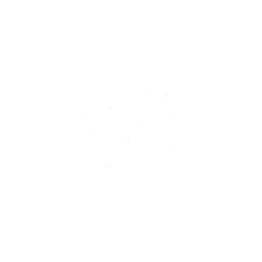 Cc1cc(C2(c3ccc(C4(C(=O)O)C=CC5=C(C4)C(=O)OC5=O)c(C)c3)c3ccccc3-c3ccccc32)ccc1C1(C(=O)O)C=CC2=C(C1)C(=O)OC2=O